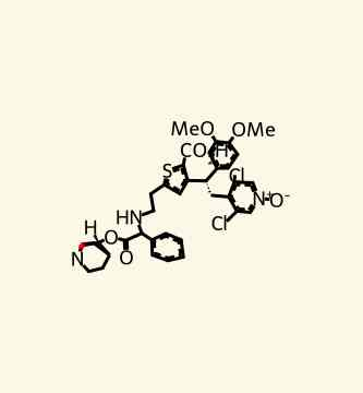 COc1ccc([C@H](Cc2c(Cl)c[n+]([O-])cc2Cl)c2cc(CCNC(C(=O)O[C@H]3CN4CCC3CC4)c3ccccc3)sc2C(=O)O)cc1OC